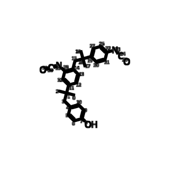 CC(C)(Cc1ccc(O)cc1)c1ccc(CC(C)(C)c2ccc(N=C=O)cc2)c(N=C=O)c1